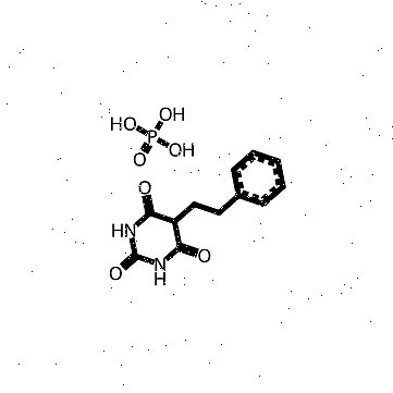 O=C1NC(=O)C(CCc2ccccc2)C(=O)N1.O=P(O)(O)O